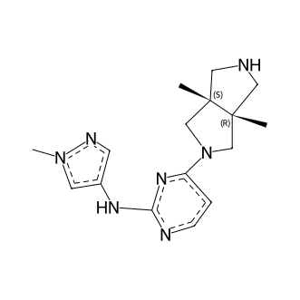 Cn1cc(Nc2nccc(N3C[C@]4(C)CNC[C@]4(C)C3)n2)cn1